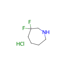 Cl.FC1(F)CCCCNC1